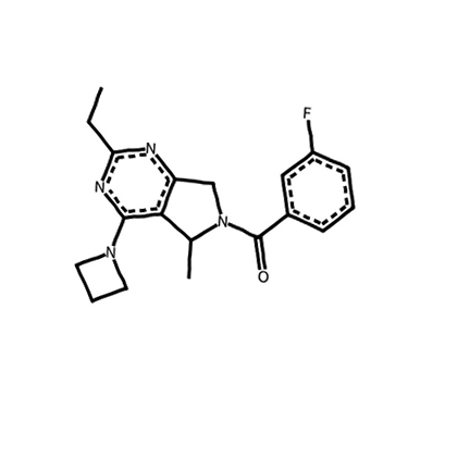 CCc1nc2c(c(N3CCC3)n1)C(C)N(C(=O)c1cccc(F)c1)C2